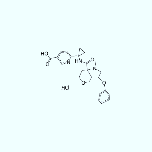 CN(CCOc1ccccc1)C1(C(=O)NC2(c3ccc(C(=O)O)cn3)CC2)CCOCC1.Cl